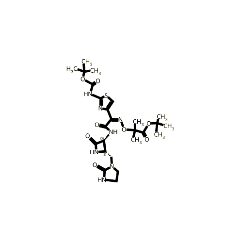 CC(C)(C)OC(=O)Nc1nc(C(=NOC(C)(C)C(=O)OC(C)(C)C)C(=O)N[C@@H]2C(=O)N[C@H]2CN2CCNC2=O)cs1